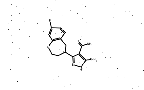 NC(=O)c1c(C2CCOc3cc(F)ccc3C2)n[nH]c1N